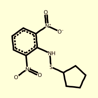 O=[N+]([O-])c1cccc([N+](=O)[O-])c1NSC1CCCC1